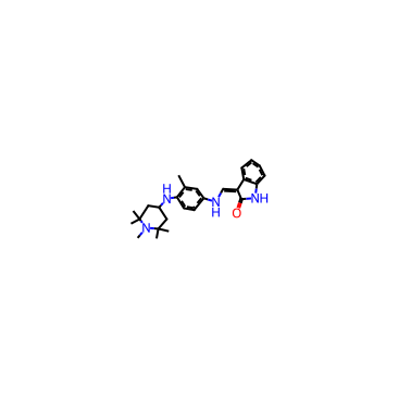 Cc1cc(N/C=C2\C(=O)Nc3ccccc32)ccc1NC1CC(C)(C)N(C)C(C)(C)C1